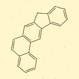 c1ccc2c(c1)Cc1cc3ccc4ccccc4c3cc1-2